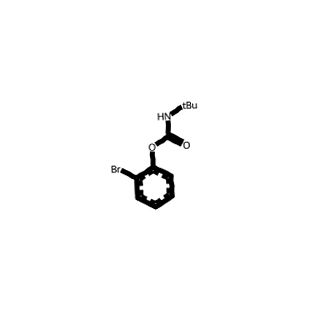 CC(C)(C)NC(=O)Oc1ccccc1Br